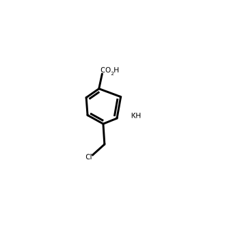 O=C(O)c1ccc(CCl)cc1.[KH]